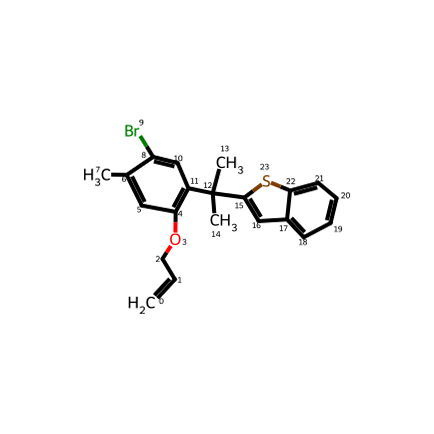 C=CCOc1cc(C)c(Br)cc1C(C)(C)c1cc2ccccc2s1